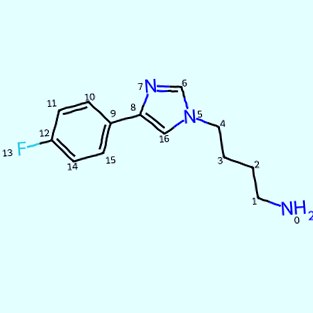 NCCCCn1cnc(-c2ccc(F)cc2)c1